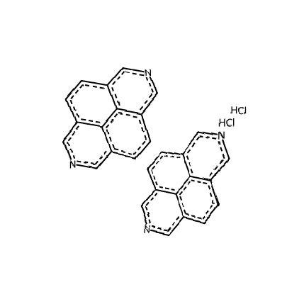 Cl.Cl.c1cc2cncc3ccc4cncc1c4c23.c1cc2cncc3ccc4cncc1c4c23